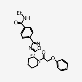 CCNC(=O)c1ccc(-c2noc([C@H]3CCCCN3C(=O)COc3ccccc3)n2)cc1